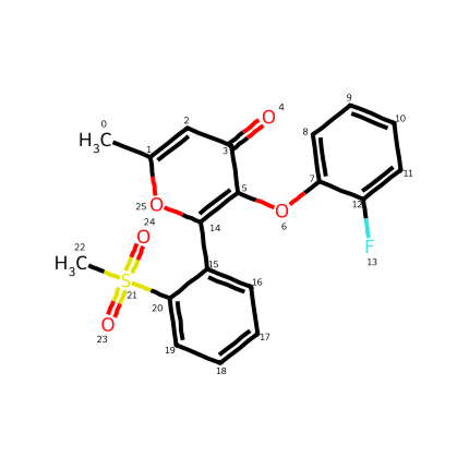 Cc1cc(=O)c(Oc2ccccc2F)c(-c2ccccc2S(C)(=O)=O)o1